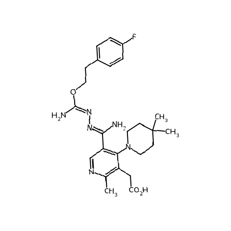 Cc1ncc(/C(N)=N/N=C(\N)OCCc2ccc(F)cc2)c(N2CCC(C)(C)CC2)c1CC(=O)O